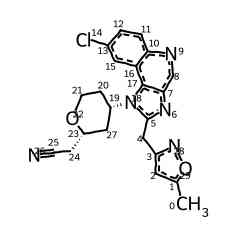 Cc1cc(Cc2nc3cnc4ccc(Cl)cc4c3n2[C@H]2CCO[C@@H](CC#N)C2)no1